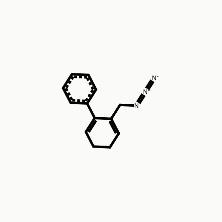 [N-]=[N+]=NCC1=CCCC=C1c1ccccc1